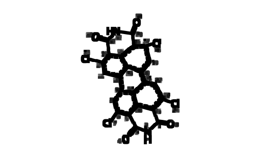 O=C1NC(=O)c2c(Cl)cc3c4cc(Cl)c5c6c(c(Cl)cc(c7cc(Cl)c1c2c73)c64)C(=O)NC5=O